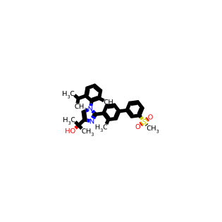 Cc1cc(-c2cccc(S(C)(=O)=O)c2)ccc1-c1nc(C(C)(C)O)cn1-c1c(C)cccc1C(C)C